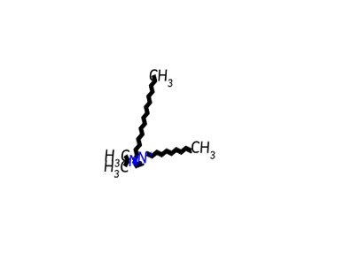 CCCCCCCCCCCCCCCc1n(C(C)C)cc[n+]1CCCCCCCCCCC